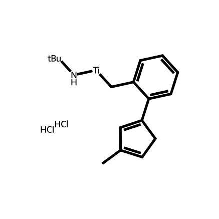 CC1=CCC(c2ccccc2[CH2][Ti][NH]C(C)(C)C)=C1.Cl.Cl